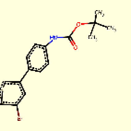 CC(C)(C)OC(=O)Nc1ccc(-c2cccc(Br)c2)cc1